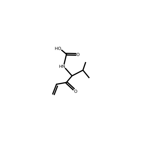 C=CC(=O)C(NC(=O)O)C(C)C